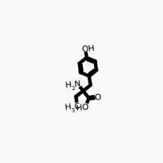 CCC(N)(Cc1ccc(O)cc1)C(=O)O